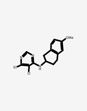 CCc1ncnc(NC2CCc3cc(OC)ccc3C2)c1Cl